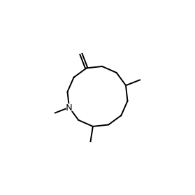 C=C1CCC(C)CCCC(C)CN(C)CC1